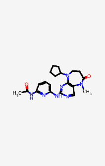 CC(=O)Nc1cccc(Nc2ncc3c(n2)N(C2CCCC2)CCC(=O)N3C)n1